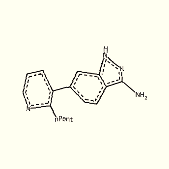 CCCCCc1ncccc1-c1ccc2c(N)n[nH]c2c1